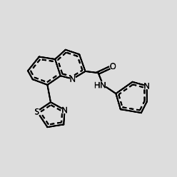 O=C(Nc1cccnc1)c1ccc2cccc(-c3nccs3)c2n1